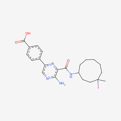 CC1(I)CCCCCC(NC(=O)c2nc(-c3ccc(C(=O)O)cc3)cnc2N)CC1